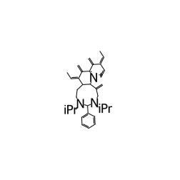 C=C1/C(=C\C)C2CCN(C(C)C)C(c3ccccc3)N(C(C)C)CC(=C)C2[n+]2cc/c(=C/C)c(=C)c21